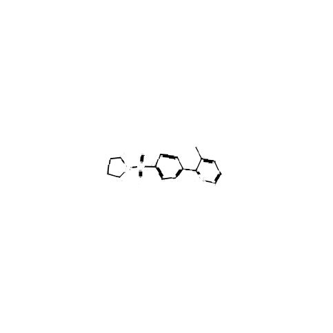 Cc1cccnc1-c1ccc(S(=O)(=O)N2CCCC2)cc1